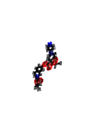 CCOC(=O)C1(COc2ccc3c(c2)CN(C(=O)OC(C)(C)C)CC3)CCN(c2ccncc2)CC1